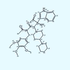 COc1cc(CN(C(C)=O)C(=O)C(N2CCC(N3CCCCC3)CC2)C(N)(C(C)=O)c2c[nH]c3ccccc23)cc(OC)c1OC